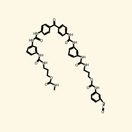 CNC(=O)OCCCNC(=O)Nc1cccc(NC(=O)Nc2ccc(C(=O)c3ccc(NC(=O)Nc4cccc(NC(=O)NCCCOC(=O)Nc5cccc(N=C=O)c5)c4)cc3)cc2)c1